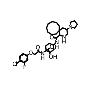 O=C(COc1ccc(Cl)c(F)c1)NC12CCC(NC(=O)C3NCC(N4CCCC4)CC34CCCCCCCC4)(CC1)CC2O